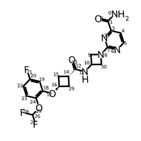 NC(=O)c1ccnc(N2CC(NC(=O)[C@H]3C[C@H](Oc4cc(F)ccc4OC(F)F)C3)C2)n1